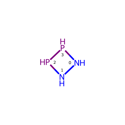 N1NPP1